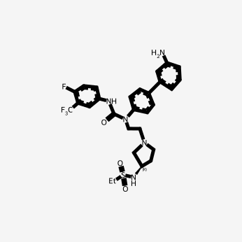 CCS(=O)(=O)N[C@@H]1CCN(CCN(C(=O)Nc2ccc(F)c(C(F)(F)F)c2)c2ccc(-c3cccc(N)c3)cc2)C1